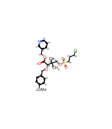 COc1ccc(CO[C@@H](C(=O)OCc2cccnc2)C(C)(C)COS(=O)(=O)CCCCl)cc1